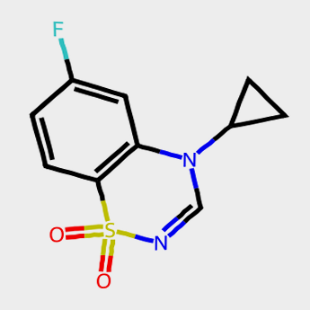 O=S1(=O)N=CN(C2CC2)c2cc(F)ccc21